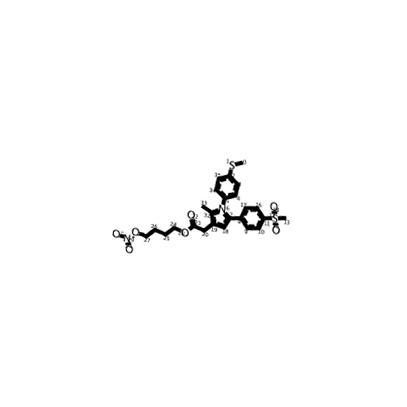 CSc1ccc(-n2c(-c3ccc(S(C)(=O)=O)cc3)cc(CC(=O)OCCCCO[N+](=O)[O-])c2C)cc1